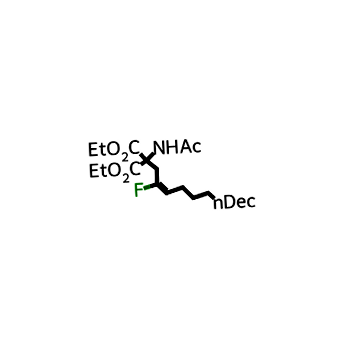 CCCCCCCCCCCCC/C=C(/F)CC(NC(C)=O)(C(=O)OCC)C(=O)OCC